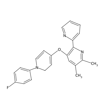 Cc1cc(OC2=CCN(c3ccc(F)cc3)C=C2)c(-c2ccccn2)nc1C